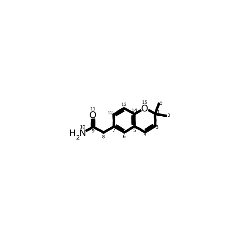 CC1(C)C=Cc2cc(CC(N)=O)ccc2O1